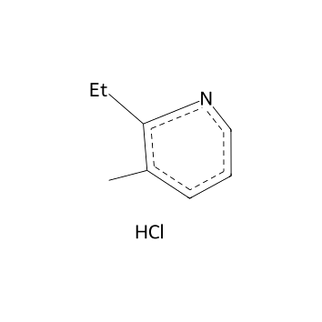 CCc1ncccc1C.Cl